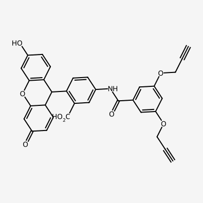 C#CCOc1cc(OCC#C)cc(C(=O)Nc2ccc(C3c4ccc(O)cc4OC4=CC(=O)C=CC43)c(C(=O)O)c2)c1